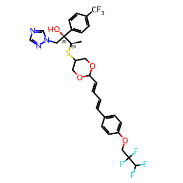 C[C@@H](SC1COC(C=CC=Cc2ccc(OCC(F)(F)C(F)F)cc2)OC1)[C@](O)(Cn1cncn1)c1ccc(C(F)(F)F)cc1